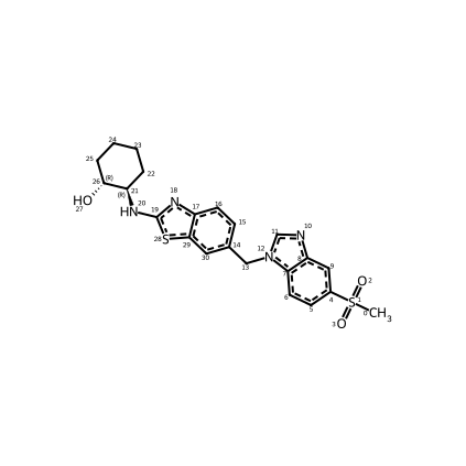 CS(=O)(=O)c1ccc2c(c1)ncn2Cc1ccc2nc(N[C@@H]3CCCC[C@H]3O)sc2c1